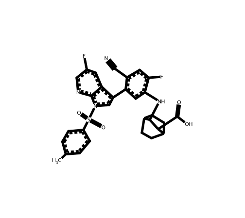 Cc1ccc(S(=O)(=O)n2cc(-c3cc(NC4C5CCC(CC5)C4C(=O)O)c(F)cc3C#N)c3cc(F)cnc32)cc1